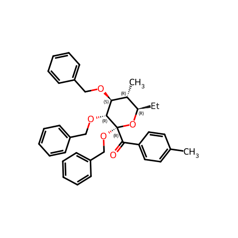 CC[C@H]1O[C@@](OCc2ccccc2)(C(=O)c2ccc(C)cc2)[C@H](OCc2ccccc2)[C@@H](OCc2ccccc2)[C@@H]1C